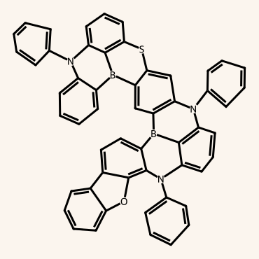 c1ccc(N2c3ccccc3B3c4cc5c(cc4Sc4cccc2c43)N(c2ccccc2)c2cccc3c2B5c2ccc4c(oc5ccccc54)c2N3c2ccccc2)cc1